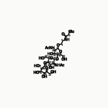 CC(=O)N[C@@H]1C(OCCNC(=O)CC(C)(C)C)OC(CO)[C@@H](OC2OC(CO)[C@H](OC3OC(CO)[C@H](O)C(O)[C@@H]3O)C(O)[C@@H]2NC(C)=O)C1O